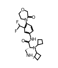 NC[C@H](C(=O)Nc1ccc(N2CCOCC2=O)c(C(F)F)c1)N(C1CCC1)C1CCC1